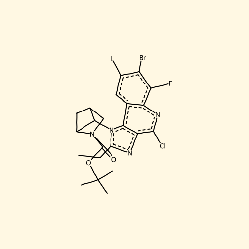 CCc1nc2c(Cl)nc3c(F)c(Br)c(I)cc3c2n1C1C2CC1N(C(=O)OC(C)(C)C)C2